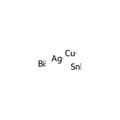 [Ag].[Bi].[Cu].[Sn]